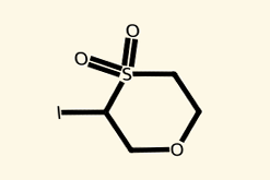 O=S1(=O)CCOCC1I